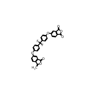 C=C1OC(=O)c2cc(Oc3ccc(C(F)(F)c4ccc(Oc5ccc6c(c5)C(=O)OC6=O)cc4)cc3)ccc21